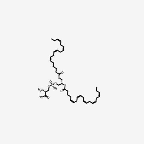 CC/C=C\C/C=C\C/C=C\C/C=C\C/C=C\CCCC(=O)O[C@H](COC(=O)CCCC/C=C\C/C=C\C/C=C\C/C=C\CC)COP(=O)(O)OC[C@H](N)C(=O)O